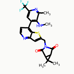 CNc1c(-c2ccnc3cc(CN4C(=O)C5C(C4=O)C5(C)C)sc23)cc(C(F)(F)F)nc1C